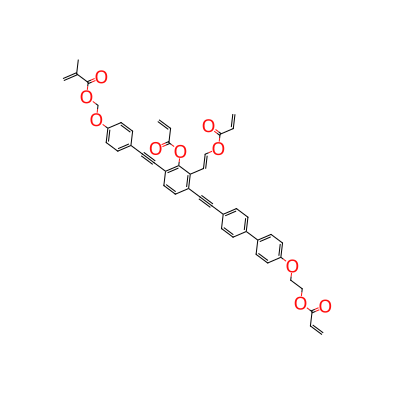 C=CC(=O)O/C=C/c1c(C#Cc2ccc(-c3ccc(OCCOC(=O)C=C)cc3)cc2)ccc(C#Cc2ccc(OCOC(=O)C(=C)C)cc2)c1OC(=O)C=C